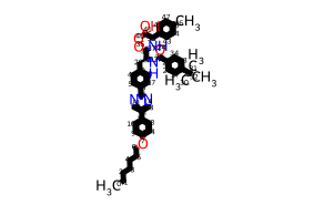 CCCCCCCOc1ccc(-c2cnc(-c3ccc(C[C@H](NC(=O)c4ccc(C(C)(C)C)cc4)C(=O)NC(C(=O)O)c4ccc(C)cc4)cc3)nc2)cc1